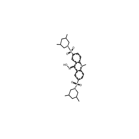 CC1CC(C)CN(S(=O)(=O)c2ccc3c(c2)c(=NO)c2cc(S(=O)(=O)N4CC(C)CC(C)C4)ccc2n3C)C1